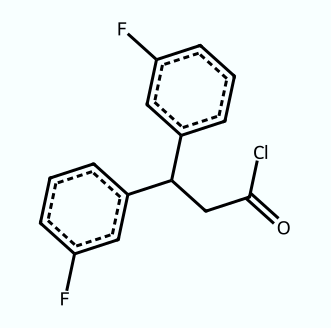 O=C(Cl)CC(c1cccc(F)c1)c1cccc(F)c1